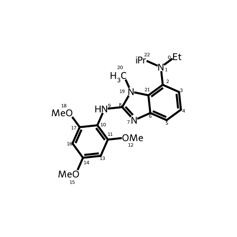 CCN(c1cccc2nc(Nc3c(OC)cc(OC)cc3OC)n(C)c12)C(C)C